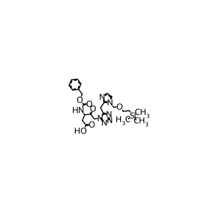 C[Si](C)(C)CCOCn1ccnc1Cc1nnnn1CC(=O)C(CC(=O)O)NC(=O)OCc1ccccc1